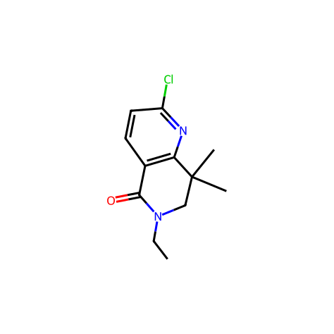 CCN1CC(C)(C)c2nc(Cl)ccc2C1=O